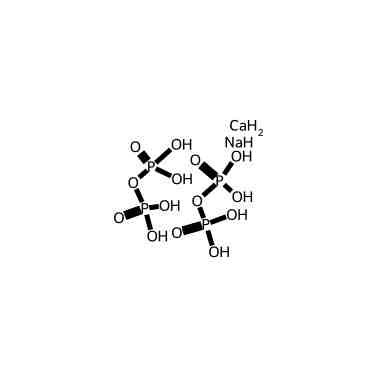 O=P(O)(O)OP(=O)(O)O.O=P(O)(O)OP(=O)(O)O.[CaH2].[NaH]